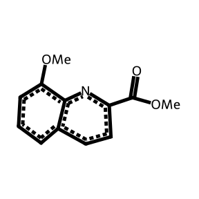 COC(=O)c1ccc2cccc(OC)c2n1